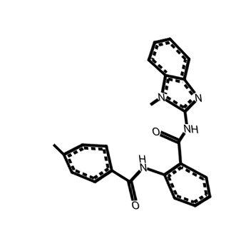 Cc1ccc(C(=O)Nc2ccccc2C(=O)Nc2nc3ccccc3n2C)cc1